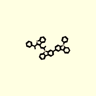 C/C(=C\c1c(C(C)c2ccccc2)sc2ccccc12)n1c2ccccc2c2ccc(-c3ccc4c(c3)c3c(n4-c4ccccc4)CCC=C3)cc21